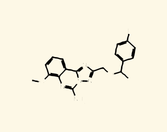 COc1cccc2c1nc(N)n1nc(COC(C)c3ccc(F)cc3)nc21